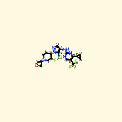 F[C@H]1CN(C2COC2)CC[C@@H]1n1ncc(Nc2ncc(C(F)(F)F)c(C3CC3)n2)c1Cl